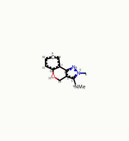 CNc1c2c(nn1C)-c1ccccc1OC2